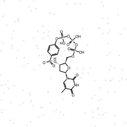 Cc1cn([C@H]2C[C@H](O)[C@@H](COP(=O)(O)OP(=O)(O)OP(=O)(O)Oc3ccc([N+](=O)[O-])cc3)O2)c(=O)[nH]c1=O